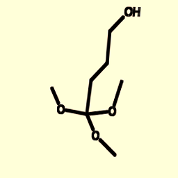 COC(CCCO)(OC)OC